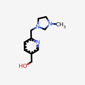 CN1CCN(Cc2ccc(CO)cn2)C1